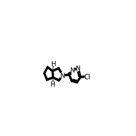 Clc1ccc(N2C[C@H]3CCC[C@H]3C2)nn1